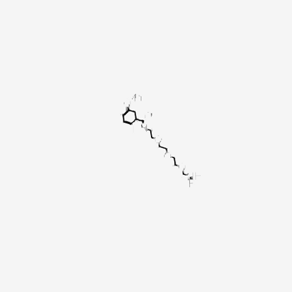 CCNCOCCOCCOCCNC(=O)C1C=CC=C(OC(C)C)C1